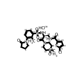 Cc1c(N2CCCC2=O)cccc1S(=O)(=O)N[C@@H](CNC(=O)c1ccc(Cl)s1)C(=O)N1CC[N+](C)([O-])CC1.Cl